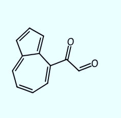 O=CC(=O)c1ccccc2cccc1-2